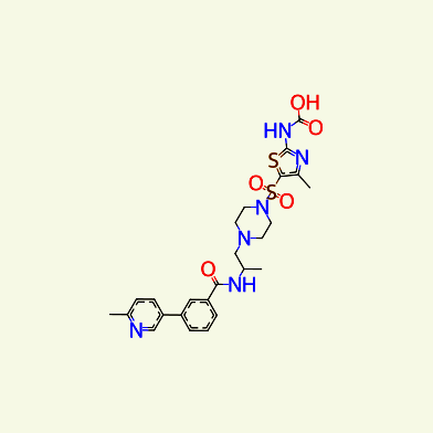 Cc1ccc(-c2cccc(C(=O)NC(C)CN3CCN(S(=O)(=O)c4sc(NC(=O)O)nc4C)CC3)c2)cn1